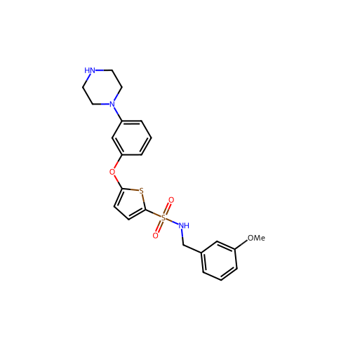 COc1cccc(CNS(=O)(=O)c2ccc(Oc3cccc(N4CCNCC4)c3)s2)c1